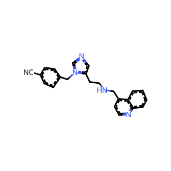 N#Cc1ccc(Cn2cncc2CCNCc2ccnc3ccccc23)cc1